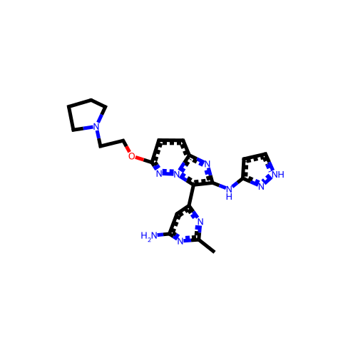 Cc1nc(N)cc(-c2c(Nc3cc[nH]n3)nc3ccc(OCCN4CCCC4)nn23)n1